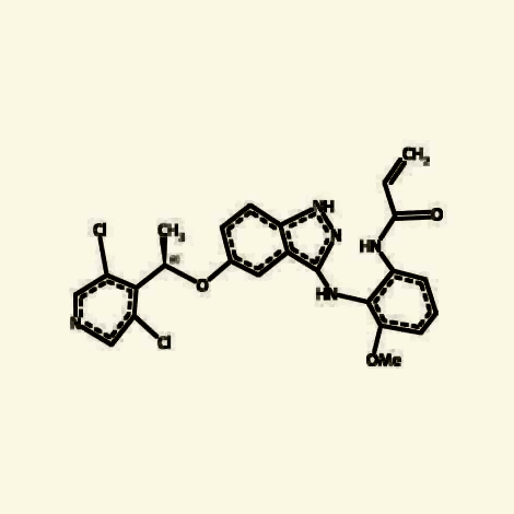 C=CC(=O)Nc1cccc(OC)c1Nc1n[nH]c2ccc(O[C@H](C)c3c(Cl)cncc3Cl)cc12